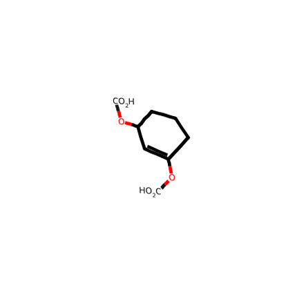 O=C(O)OC1=CC(OC(=O)O)CCC1